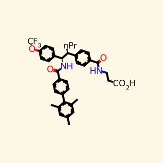 CCC[C@@H](c1ccc(C(=O)NCCC(=O)O)cc1)[C@H](NC(=O)c1ccc(-c2c(C)cc(C)cc2C)cc1)c1ccc(OC(F)(F)F)cc1